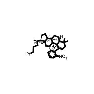 CC(C)CCC[C@@H](C)[C@H]1CC[C@@]2(C)[C@@H]3CC[C@H]4C(C)(C)CC=C(c5c(C(=O)O)cccc5[N+](=O)[O-])[C@@]45C[C@@]35CC[C@]12C